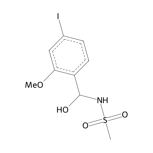 COc1cc(I)ccc1C(O)NS(C)(=O)=O